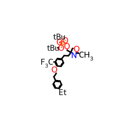 CCc1ccc(CCOc2ccc(CCC3(COP(=O)(OC(C)(C)C)OC(C)(C)C)COC(C)=N3)cc2C(F)(F)F)cc1